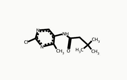 Cc1nc(Cl)ncc1NC(=O)CC(C)(C)C